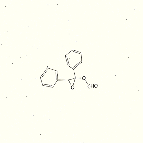 O=CO[C@]1(c2ccccc2)O[C@@H]1c1ccccc1